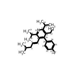 CC(C)CC=Cc1c(C(C)C)nc(C(C)C)c(CO)c1-c1ccc(F)cc1